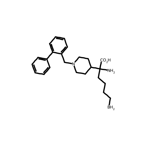 BCCCCC(N)(C(=O)O)C1CCN(Cc2ccccc2-c2ccccc2)CC1